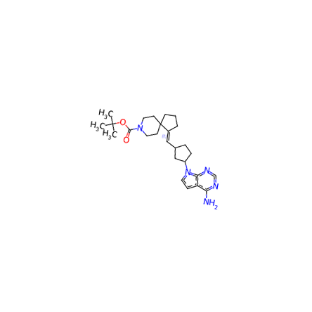 CC(C)(C)OC(=O)N1CCC2(CCC/C2=C\C2CCC(n3ccc4c(N)ncnc43)C2)CC1